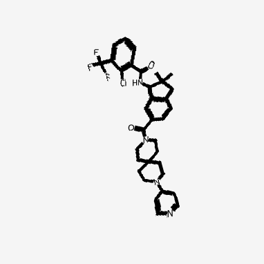 CC1(C)Cc2ccc(C(=O)N3CCC4(CC3)CCN(c3ccncc3)CC4)cc2C1NC(=O)c1cccc(C(F)(F)F)c1Cl